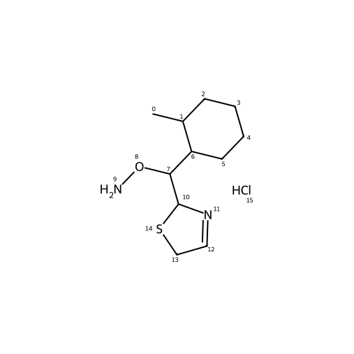 CC1CCCCC1C(ON)C1N=CCS1.Cl